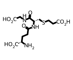 N[C@@H](CCC(=O)N[C@@H](CSCCC(=O)O)C(=O)NCC(=O)O)C(=O)O